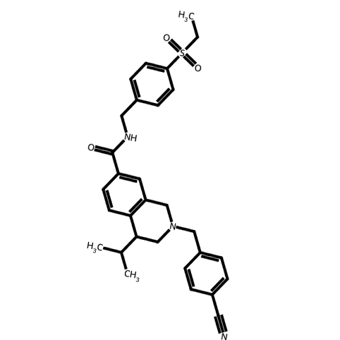 CCS(=O)(=O)c1ccc(CNC(=O)c2ccc3c(c2)CN(Cc2ccc(C#N)cc2)CC3C(C)C)cc1